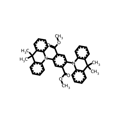 COC(=O)c1cc(N2c3ccccc3C(C)(C)c3ccccc32)c(C(=O)OC)cc1N1c2ccccc2C(C)(C)c2ccccc21